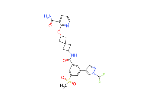 CS(=O)(=O)c1cc(C(=O)NC2CC3(C2)CC(Oc2ncccc2C(N)=O)C3)cc(-c2cnn(C(F)F)c2)c1